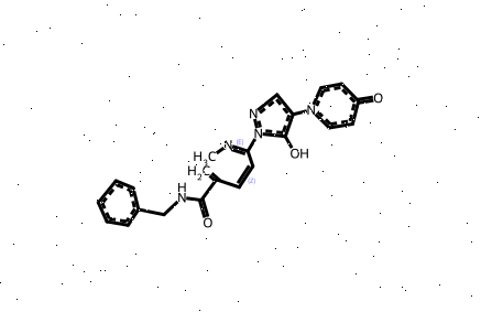 C=C(/C=C\C(=N/C)n1ncc(-n2ccc(=O)cc2)c1O)C(=O)NCc1ccccc1